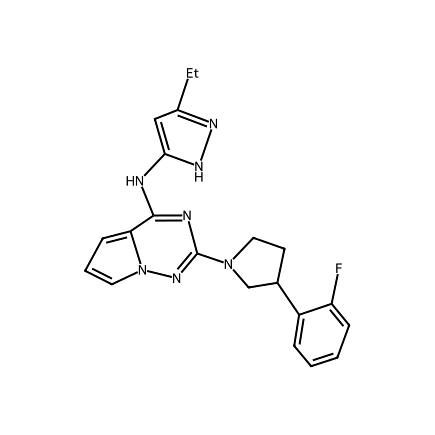 CCc1cc(Nc2nc(N3CCC(c4ccccc4F)C3)nn3cccc23)[nH]n1